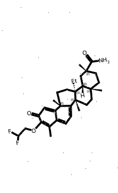 CC[C@@]12CC[C@@]3(C)C4=CC(=O)C(OCC(F)F)=C(C)C4=CC=C3[C@@]1(C)CC[C@@]1(C)CC[C@@](C)(C(N)=O)C[C@H]12